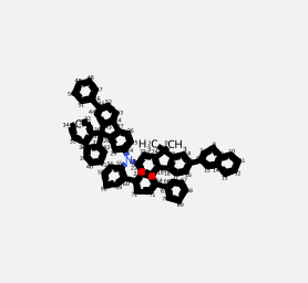 CC1(C)c2cc(-c3ccc4ccccc4c3)ccc2-c2ccc(N(c3ccc4c(c3)C(c3ccccc3)(c3ccccc3)c3cc(-c5ccccc5)ccc3-4)c3ccccc3-c3ccc(-c4ccccc4)cc3)cc21